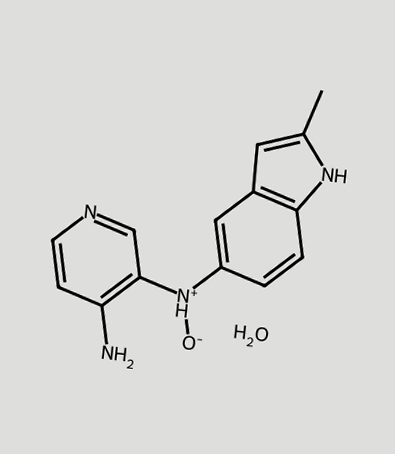 Cc1cc2cc([NH+]([O-])c3cnccc3N)ccc2[nH]1.O